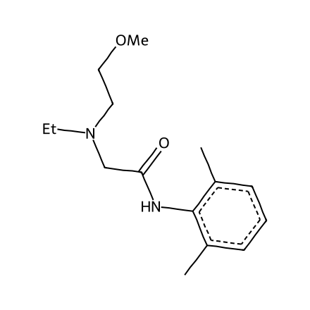 CCN(CCOC)CC(=O)Nc1c(C)cccc1C